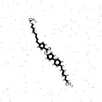 CCCC/C=C/CCCCc1ccc(C(=O)Oc2ccc(-c3ccc(CC/C=C/CCCC)cc3)cc2)cc1